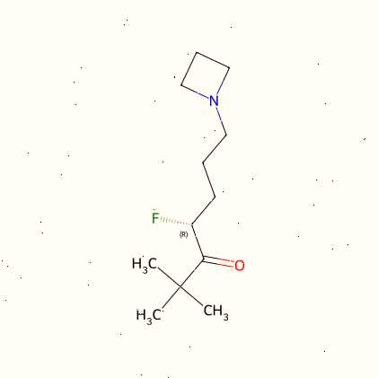 CC(C)(C)C(=O)[C@H](F)CCCN1CCC1